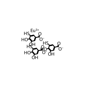 O=C([O-])c1cc(O)c(O)c(S)c1.O=C([O-])c1cc(O)c(O)c(S)c1.O=C([O-])c1cc(O)c(O)c(S)c1.[Eu+3]